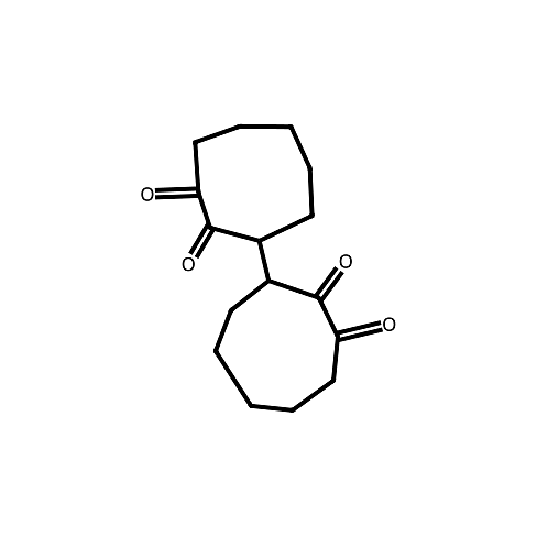 O=C1CCCCCC(C2CCCCCC(=O)C2=O)C1=O